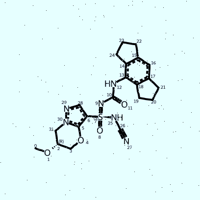 CO[C@H]1COc2c([S@@](=O)(=NC(=O)Nc3c4c(cc5c3CCC5)CCC4)NC#N)cnn2C1